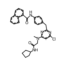 CN(CC(=O)NC1CCCC1)c1[c]c(Cl)nc(Cc2ccc(NC(=O)c3cccc4ccccc34)cc2)n1